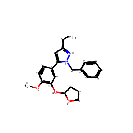 CCc1cc(-c2ccc(OC)c(OC3CCCO3)c2)n(Cc2ccccc2)n1